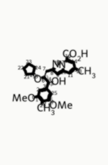 COc1cc([C@@H](O)[C@H](Cc2cc3cc(C)cc(C(=O)O)n3n2)OC2CCCC2)cc(OC)c1C